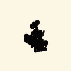 CC[C@H](C)[C@@H]([C@@H](CC(=O)N1CCC[C@H]1C(OC)[C@@H](C)C(=O)N[C@@]1(C(=O)N2CCCCO2)C[C@@H]1c1ccccc1)OC)N(C)C(=O)[C@@H](NC(=O)[C@H](C(C)C)N(C)CCCC(=O)NNC(=O)CCCCCN1C(=O)C=CC1=O)C(C)C